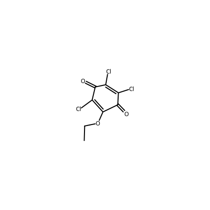 CCOC1=C(Cl)C(=O)C(Cl)=C(Cl)C1=O